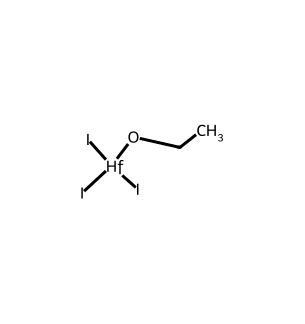 CC[O][Hf]([I])([I])[I]